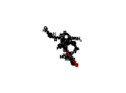 C=CN1Cc2cccc(c2)C[C@@H](NC(=O)[C@@H]2NC(=O)[C@@H](NC(=O)CCC(=O)NCc3ccc(CCNC=O)cc3)CNC(=O)CCOC2COCCN)C(=O)N[C@H](Cc2c[nH]c3ccc(F)cc23)C(=O)N2CC[C@@H](OC/N=N\1)[C@H]2C(=O)N[C@H](C(=O)N[C@@H](Cc1ccc(OC)cc1)C(=O)N(C)CCCCC)[C@H](C)O